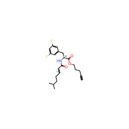 C#CCCCOC(=O)[C@H](Cc1cc(F)cc(F)c1)NC(=O)/C=C/CCC(C)C